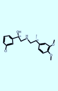 COc1ccc([C@@H](C)CNC[C@H](O)c2cccc(Cl)c2)cc1OC